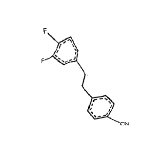 N#Cc1ccc(C[CH]c2ccc(F)c(F)c2)cc1